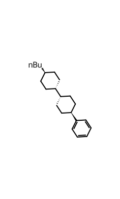 CCCC[C@H]1CC[C@H]([C@H]2CC[C@H](c3ccccc3)CC2)CC1